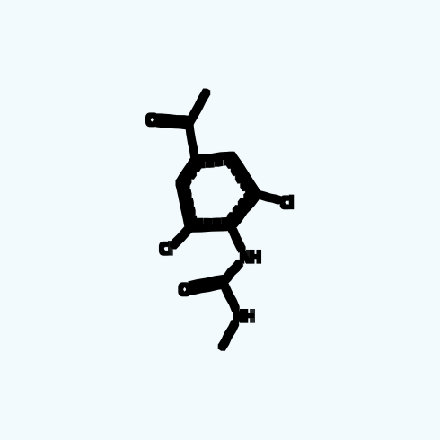 CNC(=O)Nc1c(Cl)cc(C(C)=O)cc1Cl